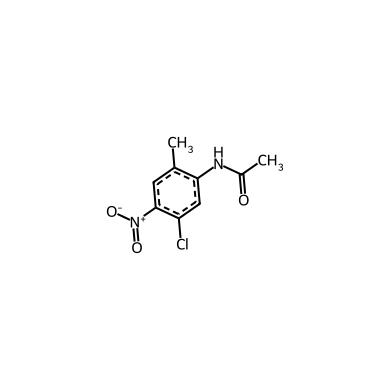 CC(=O)Nc1cc(Cl)c([N+](=O)[O-])cc1C